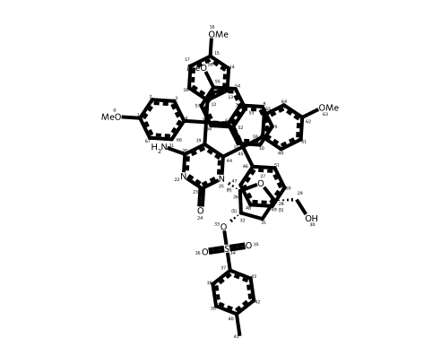 COc1ccc(C(c2ccccc2)(c2ccc(OC)cc2)c2c(N)nc(=O)n([C@@H]3O[C@H](CO)C[C@@H]3OS(=O)(=O)c3ccc(C)cc3)c2C(c2ccccc2)(c2ccc(OC)cc2)c2ccc(OC)cc2)cc1